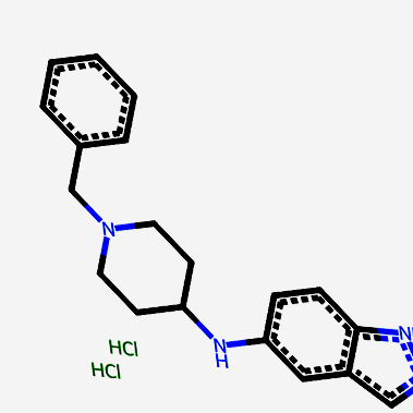 Cl.Cl.c1ccc(CN2CCC(Nc3ccc4[nH]ncc4c3)CC2)cc1